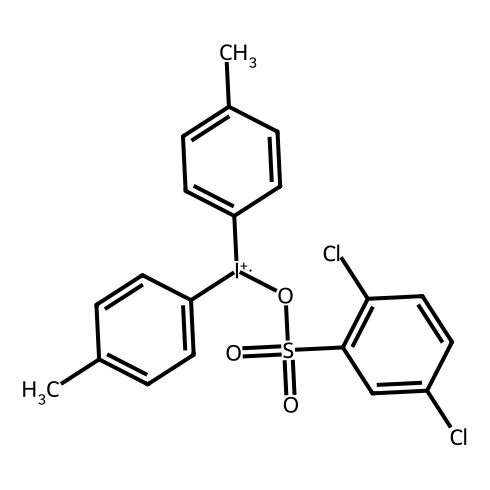 Cc1ccc([I+](OS(=O)(=O)c2cc(Cl)ccc2Cl)c2ccc(C)cc2)cc1